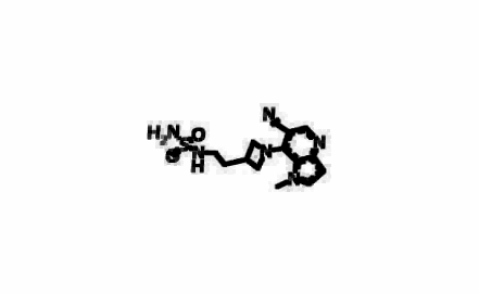 Cn1ccc2ncc(C#N)c(N3CC(CCNS(N)(=O)=O)C3)c21